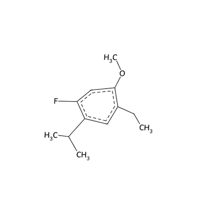 CCc1cc(C(C)C)c(F)cc1OC